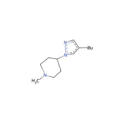 CCC(C)c1cnn(C2CCN(C)CC2)c1